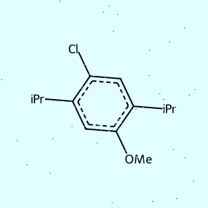 COc1cc(C(C)C)c(Cl)cc1C(C)C